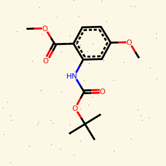 COC(=O)c1ccc(OC)cc1NC(=O)OC(C)(C)C